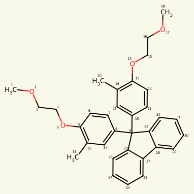 COCCOc1ccc(C2(c3ccc(OCCOC)c(C)c3)c3ccccc3-c3ccccc32)cc1C